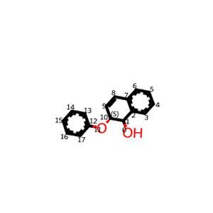 OC1c2ccccc2C=C[C@@H]1Oc1ccccc1